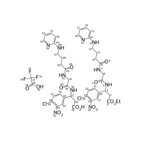 CCOC(=O)CC(NC(=O)CNC(=O)CCCNc1ccccn1)c1ccc(Cl)c([N+](=O)[O-])c1.O=C(O)C(F)(F)F.O=C(O)CC(NC(=O)CNC(=O)CCCNc1ccccn1)c1ccc(Cl)c([N+](=O)[O-])c1